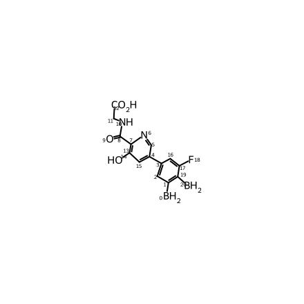 Bc1cc(-c2cnc(C(=O)NCC(=O)O)c(O)c2)cc(F)c1B